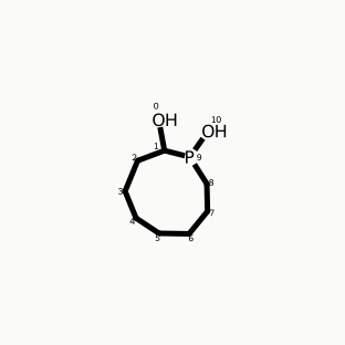 OC1CCCCCCCP1O